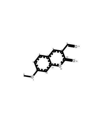 COc1ccc2cc(C=O)c(=O)oc2c1